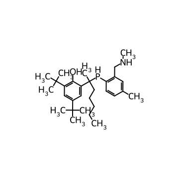 CCCCCC(C)(Pc1ccc(C)cc1CNC)c1cc(C(C)(C)C)cc(C(C)(C)C)c1O